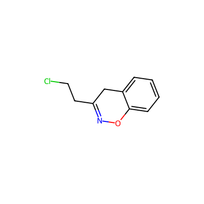 ClCCC1=NOc2ccccc2C1